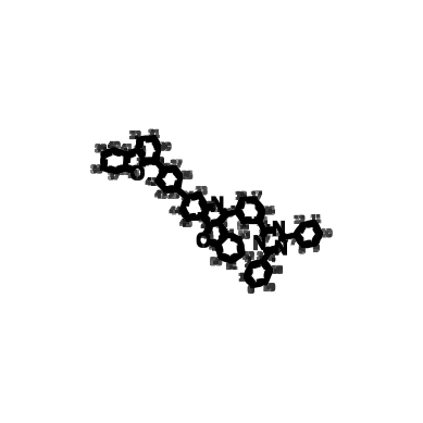 c1ccc(-c2nc(-c3ccccc3)nc(-c3cccc(-c4nc5cc(-c6ccc(-c7cccc8c7oc7ccccc78)cc6)ccc5c5oc6ccccc6c45)c3)n2)cc1